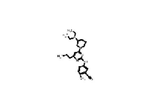 CCCc1cc(N2CCCC(N(CC)CC)C2)nc(Nc2ccc(C)c(C#N)c2)n1